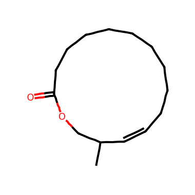 CC1/C=C\CCCCCCCCCC(=O)OC1